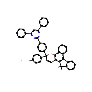 COc1ccc(C2(c3ccc(-c4nc(-c5ccccc5)cc(-c5ccccc5)n4)cc3)C=Cc3c4c(c5ccccc5c3O2)-c2ccccc2C4(C)C)cc1